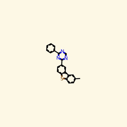 Cc1ccc2sc3ccc(-c4ncnc(-c5ccccc5)n4)cc3c2c1